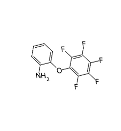 Nc1ccccc1Oc1c(F)c(F)c(F)c(F)c1F